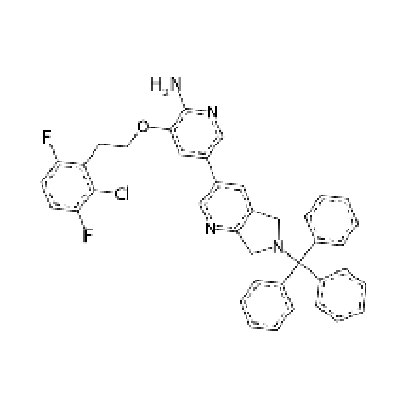 Nc1ncc(-c2cnc3c(c2)CN(C(c2ccccc2)(c2ccccc2)c2ccccc2)C3)cc1OCCc1c(F)ccc(F)c1Cl